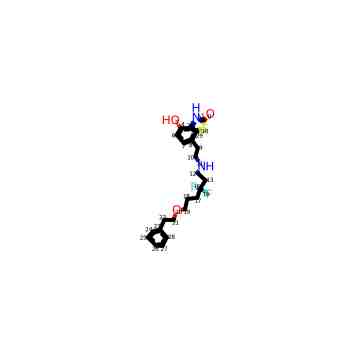 O=c1[nH]c2c(O)ccc(CCNCCC(F)(F)CCCOCCc3ccccc3)c2s1